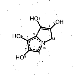 OC1=C(O)c2c(O)c(O)cn2C1